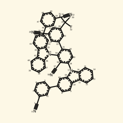 N#Cc1cccc(-c2ccc3c4ccccc4n(-c4ccc(-c5cc(C#N)cc(C(F)(F)F)c5)c(-n5c6ccccc6c6ccc(-c7cccc(C#N)c7)cc65)c4C#N)c3c2)c1